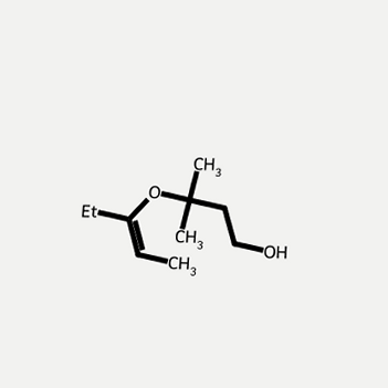 CC=C(CC)OC(C)(C)CCO